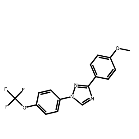 COc1ccc(-c2ncn(-c3ccc(OC(F)(F)F)cc3)n2)cc1